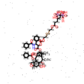 CC(=O)O[C@H]1C(=O)[C@@]2(C)[C@H]([C@H](OC(=O)c3ccccc3)[C@]3(O)C[C@H](OC(=O)C(OC(=O)OCCSSCCOC(=O)CCCCC(O)(P(=O)(O)O)P(=O)(O)O)[C@@H](NC(=O)c4ccccc4)c4ccccc4)C(C)=C1C3(C)C)[C@]1(OC(C)=O)CO[C@@H]1C[C@@H]2O